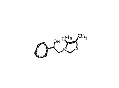 CC1=C(C)N(CC(O)c2ccccc2)CS1